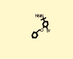 CC(C)(N=[N+]=[N-])c1ccc(Br)c(OCc2ccccc2)c1